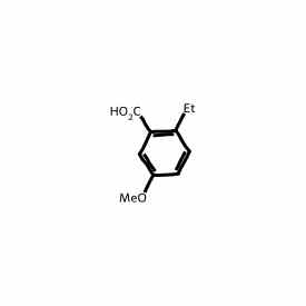 CCc1ccc(OC)cc1C(=O)O